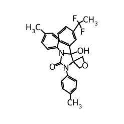 Cc1ccc(N2C(=O)N(c3ccc(C)cc3)C(O)(c3cccc(C(C)(F)F)c3)C23COC3)cc1